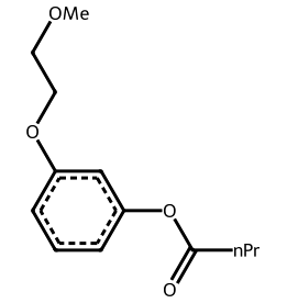 CCCC(=O)Oc1cccc(OCCOC)c1